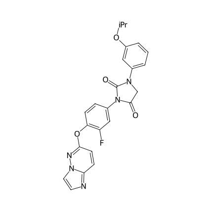 CC(C)Oc1cccc(N2CC(=O)N(c3ccc(Oc4ccc5nccn5n4)c(F)c3)C2=O)c1